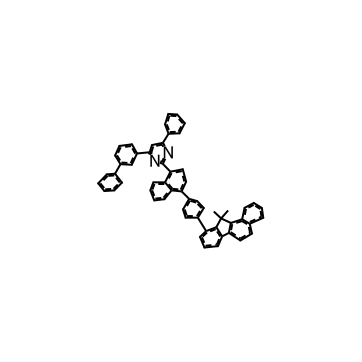 CC1(C)c2c(-c3ccc(-c4ccc(-c5nc(-c6ccccc6)cc(-c6cccc(-c7ccccc7)c6)n5)c5ccccc45)cc3)cccc2-c2ccc3ccccc3c21